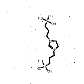 O[Si](O)(O)CCCN1C=[N+](CCC[Si](O)(O)O)CC1